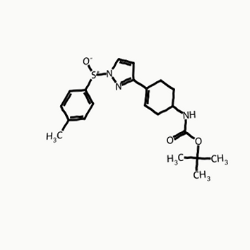 Cc1ccc([S+]([O-])n2ccc(C3=CCC(NC(=O)OC(C)(C)C)CC3)n2)cc1